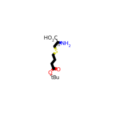 CC(C)(C)OC(=O)CCCSC[C@@H](N)C(=O)O